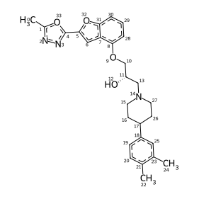 Cc1nnc(-c2cc3c(OC[C@@H](O)CN4CCC(c5ccc(C)c(C)c5)CC4)cccc3o2)o1